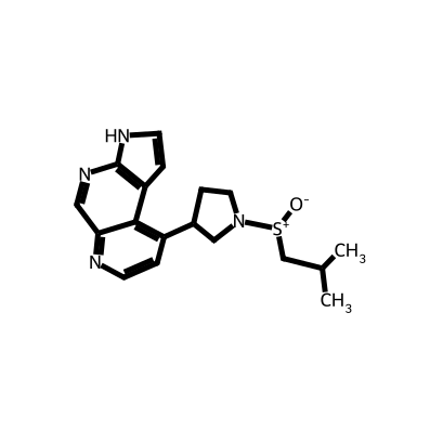 CC(C)C[S+]([O-])N1CCC(c2ccnc3cnc4[nH]ccc4c23)C1